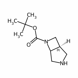 CC(C)(C)OC(=O)N1C[C@H]2CNCC21